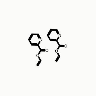 C=COC(=O)c1ccccn1.C=COC(=O)c1ccccn1